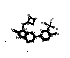 O=c1[nH]c2ncc(-c3ccc(F)c(C(F)(F)F)c3)cc2n1CC1CCO1